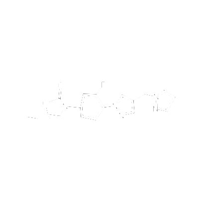 O=C1O[C@@H](CI)CN1c1ccc(-n2cc(Cn3cccn3)cn2)c(F)c1